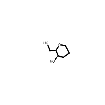 OC[C@H]1OCCC[C@H]1O